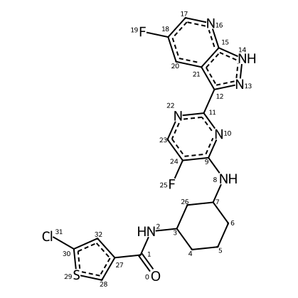 O=C(NC1CCCC(Nc2nc(-c3n[nH]c4ncc(F)cc34)ncc2F)C1)c1csc(Cl)c1